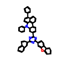 c1ccc(-c2ccc3c4c(cccc24)-c2ccc(-c4nc(-c5ccc6ccccc6c5)nc(-c5ccc6c(c5)oc5ccccc56)n4)cc2N3c2ccccc2)cc1